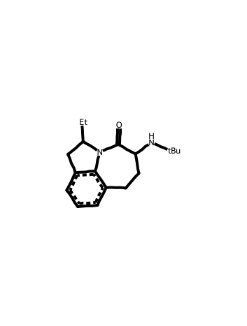 CCC1Cc2cccc3c2N1C(=O)C(NC(C)(C)C)CC3